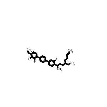 C/C=C/CCC(CC)CCC(C)c1ccc(-c2ccc(-c3ccc(CC)c(F)c3F)cc2)cc1F